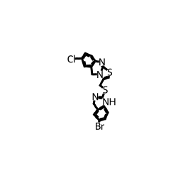 Clc1ccc2c(c1)CN1C(CSC3=NCc4cc(Br)ccc4N3)=CSC1=N2